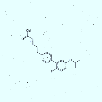 CC(C)Oc1ccc(F)c(-c2ccc(CC/C=C/C(=O)O)cc2)c1